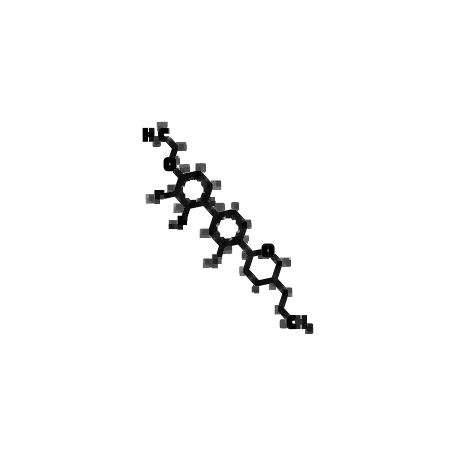 CCCC1CCC(c2ccc(-c3ccc(OCC)c(F)c3F)cc2F)OC1